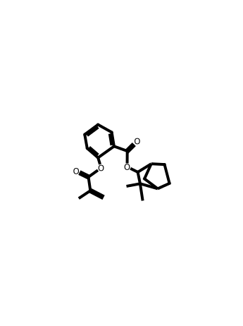 C=C(C)C(=O)Oc1ccccc1C(=O)OC1C2CCC(C2)C1(C)C